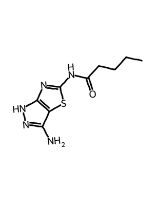 CCCCC(=O)Nc1nc2[nH]nc(N)c2s1